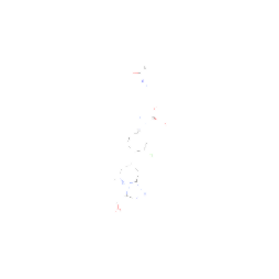 CC(=O)NC[C@H]1CN(c2ccc(-c3ccn4c(C=O)cnc4c3)c(F)c2)C(=O)O1